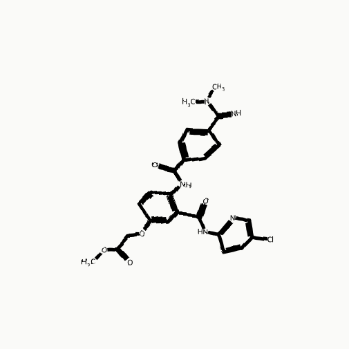 COC(=O)COc1ccc(NC(=O)c2ccc(C(=N)N(C)C)cc2)c(C(=O)Nc2ccc(Cl)cn2)c1